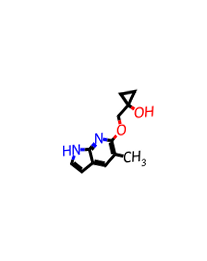 Cc1cc2cc[nH]c2nc1OCC1(O)CC1